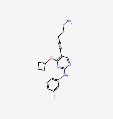 NCCCC#Cc1cnc(Nc2cccc(F)c2)nc1OC1CCC1